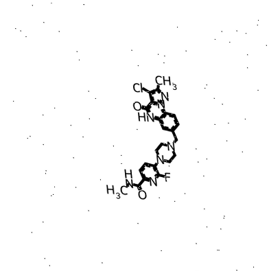 CNC(=O)c1ccc(N2CCN(Cc3ccc4c(c3)[nH]c(=O)c3c(Cl)c(C)nn34)CC2)c(F)n1